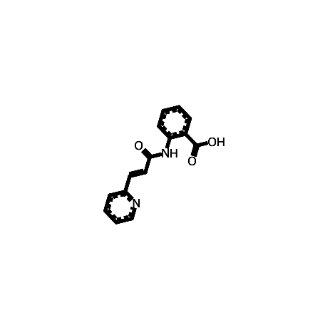 O=C(/C=C/c1ccccn1)Nc1ccccc1C(=O)O